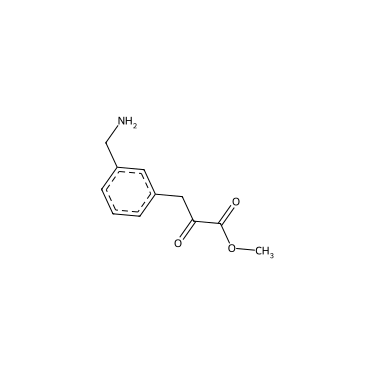 COC(=O)C(=O)Cc1cccc(CN)c1